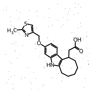 Cc1nc(COc2ccc3c4c([nH]c3c2)CCCCCC4CC(=O)O)cs1